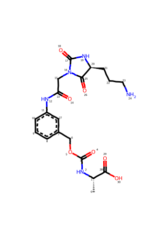 C[C@H](NC(=O)OCc1cccc(NC(=O)CN2C(=O)N[C@@H](CCCN)C2=O)c1)C(=O)O